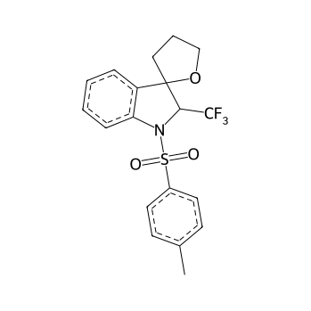 Cc1ccc(S(=O)(=O)N2c3ccccc3C3(CCCO3)C2C(F)(F)F)cc1